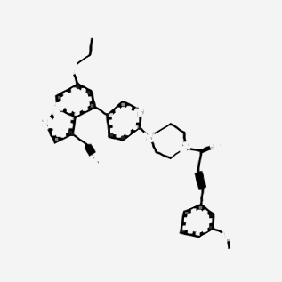 CCOc1cc(-c2ccc(N3CCN(C(=O)C#Cc4cccc(OC)c4)CC3)nc2)c2c(C#N)cnn2c1